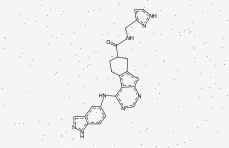 O=C(NCc1cc[nH]n1)C1CCc2c(sc3ncnc(Nc4ccc5[nH]ncc5c4)c23)C1